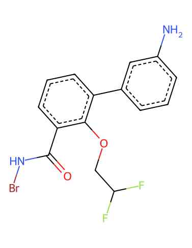 Nc1cccc(-c2cccc(C(=O)NBr)c2OCC(F)F)c1